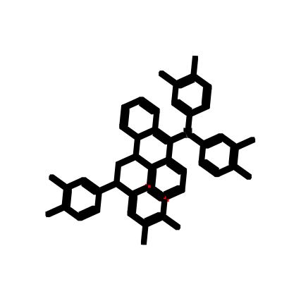 Cc1ccc(C(CC2c3ccccc3C(N(c3ccc(C)c(C)c3)c3ccc(C)c(C)c3)=C3C=CC=CC32)c2ccc(C)c(C)c2)cc1C